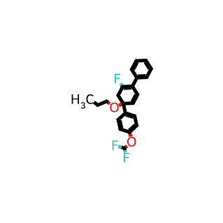 CCCOC1(c2ccc(OC(F)F)cc2)C=CC(c2ccccc2)=C(F)C1